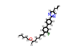 C=CCc1cnc(-c2ccc(-c3ccc(/C=C/CCCC(C)OCCCCC)c(F)c3)cc2)nc1